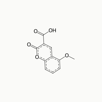 COc1cccc2oc(=O)c(C(=O)O)cc12